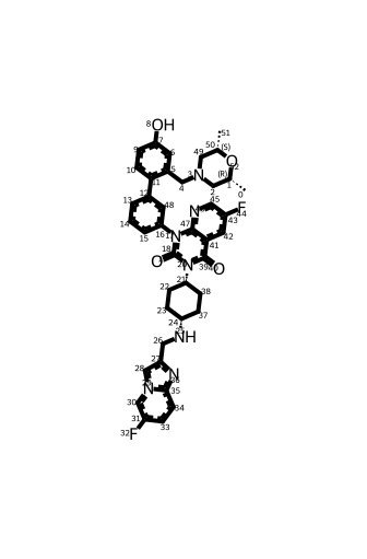 C[C@@H]1CN(Cc2cc(O)ccc2-c2cccc(-n3c(=O)n([C@H]4CC[C@@H](NCc5cn6cc(F)ccc6n5)CC4)c(=O)c4cc(F)cnc43)c2)C[C@H](C)O1